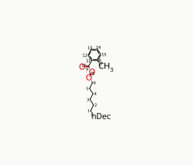 CCCCCCCCCCCCCCCCOOC(=O)c1ccccc1C